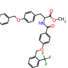 COC(=O)C(Cc1ccc(OCc2ccccc2)cc1)NC(=O)c1ccc(OCc2ccccc2C(F)(F)F)cc1